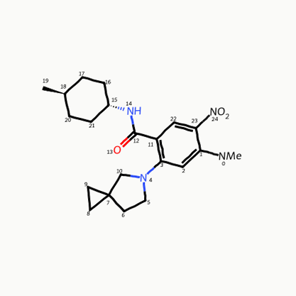 CNc1cc(N2CCC3(CC3)C2)c(C(=O)N[C@H]2CC[C@H](C)CC2)cc1[N+](=O)[O-]